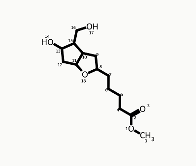 COC(=O)CCCCC1CC2C(CC(O)C2CO)O1